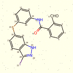 O=Cc1ccccc1C(=O)Nc1cccc(Sc2ccc3c(I)n[nH]c3c2)c1